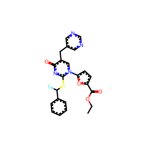 CCOC(=O)c1ccc(-n2cc(Cc3cncnc3)c(=O)nc2SC(F)c2ccccc2)o1